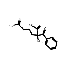 NC(CCCC(=O)O)(C(=O)O)C(=O)c1ccccc1